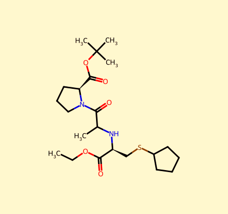 CCOC(=O)[C@H](CSC1CCCC1)NC(C)C(=O)N1CCC[C@H]1C(=O)OC(C)(C)C